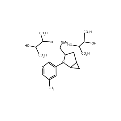 CNCC1CC2CC2N1c1cncc(C)c1.O=C(O)C(O)C(O)C(=O)O.O=C(O)C(O)C(O)C(=O)O